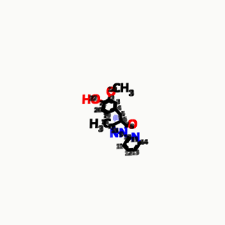 COc1cc(/C=C2/C(=O)N(c3ccccn3)N=C2C)ccc1O